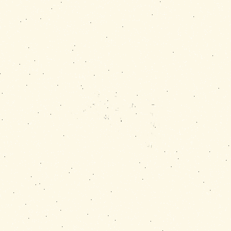 CC(C)(C)OC(=O)NCC12CN(c3c(F)cc4c(=O)c(OC(=O)O)cn(C5CC5)c4c3F)CC1CCO2